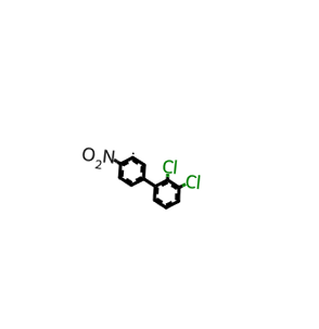 O=[N+]([O-])c1[c]cc(-c2cccc(Cl)c2Cl)cc1